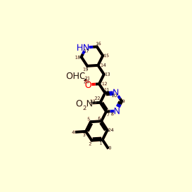 Cc1cc(C)cc(-c2ncnc(C(CC3CCNCC3)OC=O)c2[N+](=O)[O-])c1